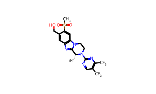 CC(C)[C@@H]1c2nc3cc(CO)c(S(C)(=O)=O)cc3n2CCN1c1ncc(C(F)(F)F)c(C(F)(F)F)n1